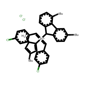 CC1C=C(C(C)(C)C)C=[C]1[Zr+2](=[CH]c1ccc(Cl)cc1)(=[CH]c1ccc(Cl)cc1)[CH]1c2ccc(C(C)(C)C)cc2-c2c1cccc2C(C)(C)C.[Cl-].[Cl-]